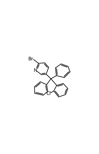 Clc1ccccc1C(c1ccccc1)(c1ccccc1)c1ccc(Br)nc1